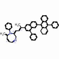 C=C1/C=C\C=N/C/C(=C\C=C(/C)c2cc(-c3ccccc3)c3cc(-c4c5c(c(-c6ccccc6)c6ccccc46)C=CCC5)ccc3c2)N1c1ccccc1